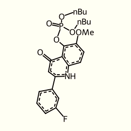 CCCCOP(=O)(OCCCC)Oc1c(OC)ccc2[nH]c(-c3cccc(F)c3)cc(=O)c12